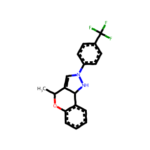 CC1Oc2ccccc2C2NN(c3ccc(C(F)(F)F)cc3)C=C12